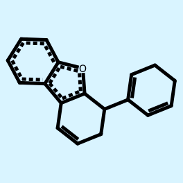 C1=CC(C2CC=Cc3c2oc2ccccc32)=CCC1